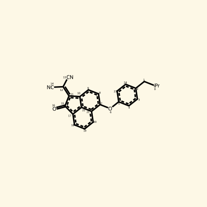 CC(C)Cc1ccc(Oc2ccc3c(=C(C#N)C#N)c(=O)c4cccc2c43)cc1